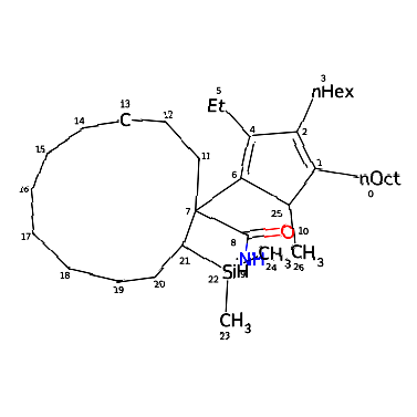 CCCCCCCCC1=C(CCCCCC)C(CC)=C(C2(C([NH])=O)CCCCCCCCCCC2[SiH](C)C)C1C